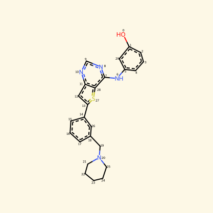 Oc1cccc(Nc2ncnc3cc(-c4cccc(CN5CCCCC5)c4)sc23)c1